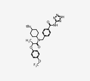 CC(Oc1ccc(OC(F)(F)F)cc1)C(=O)N(Cc1ccc(C(=O)Nc2nn[nH]n2)cc1)C1CCC(C(C)(C)C)CC1